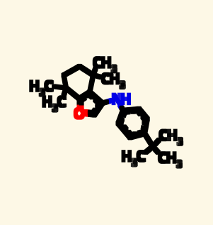 CC(C)(C)c1ccc(Nc2coc3c2C(C)(C)CCC3(C)C)cc1